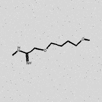 CNC(=N)COCCCCOC